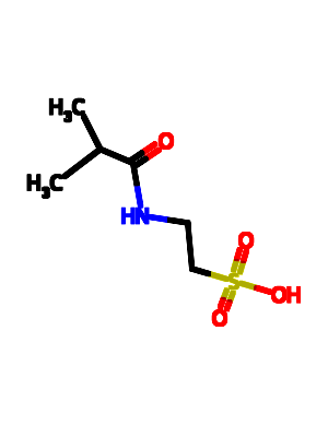 CC(C)C(=O)NCCS(=O)(=O)O